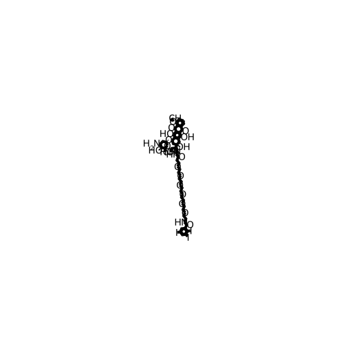 COc1cccc2c1C(=O)c1c(O)c3c(c(O)c1C2=O)C[C@](O)(/C(CO)=N/NC(=O)CCOCCOCCOCCOCCOCCOCCNC(=O)c1cc(I)cc(I)c1I)CC3O[C@H]1CC(N)[C@H](O)C(C)O1